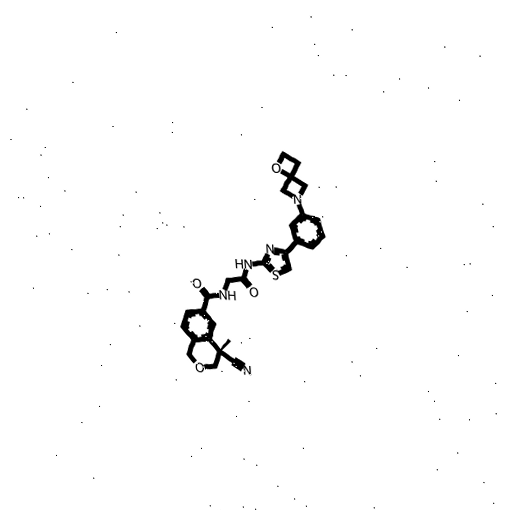 C[C@@]1(C#N)COCc2ccc(C(=O)NCC(=O)Nc3nc(-c4cccc(N5CC6(CCO6)C5)c4)cs3)cc21